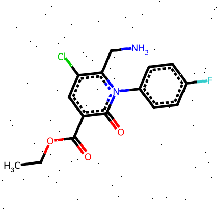 CCOC(=O)c1cc(Cl)c(CN)n(-c2ccc(F)cc2)c1=O